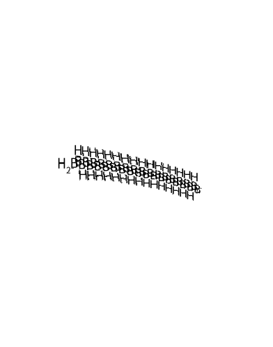 BBBBBBBBBBBBBBBBBBBBBBBBBBBBBBBBB(C)C